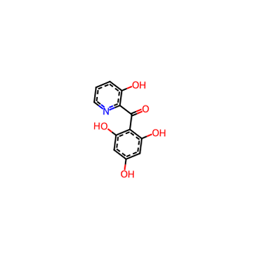 O=C(c1ncccc1O)c1c(O)cc(O)cc1O